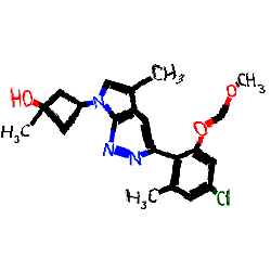 COCOc1cc(Cl)cc(C)c1-c1cc2c(C)cn(C3CC(C)(O)C3)c2nn1